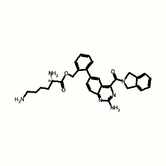 NCCCC[C@H](N)C(=O)OCc1ccccc1-c1ccc2nc(N)nc(C(=O)N3Cc4ccccc4C3)c2c1